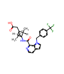 C[C@H]1C2(CC(=O)O)CC1(NC(=O)c1nccc3ccn(Cc4ccc(C(F)(F)F)cc4)c13)[C@H]2C